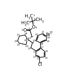 CC(C)(C)OC(=O)C[N+]1(CCc2cc(Cl)ccc2-c2ccccc2)CCCCC1.[Br-]